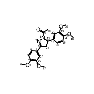 COc1ccc(C2=NN(C(C)=O)C(c3ccc(OC)c(OC)c3)C2)cc1OC